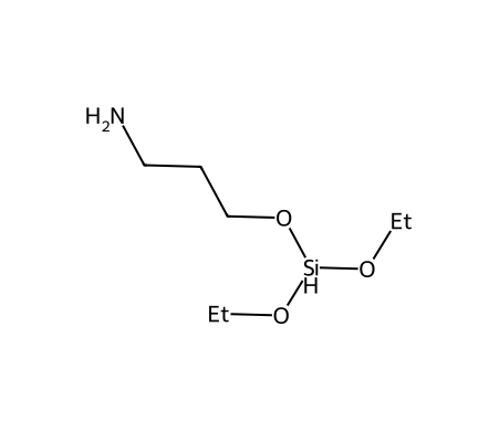 CCO[SiH](OCC)OCCCN